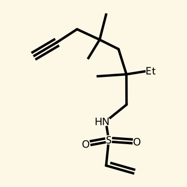 C#CCC(C)(C)CC(C)(CC)CNS(=O)(=O)C=C